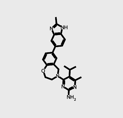 Cc1nc2cc(-c3ccc4c(c3)CN(c3nc(N)nc(C)c3C(C)C)CCO4)ccc2[nH]1